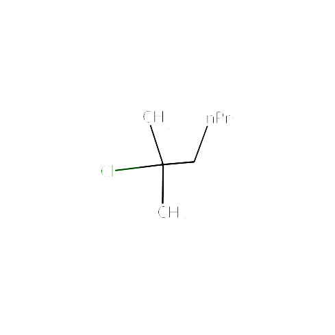 CC[CH]CC(C)(C)Cl